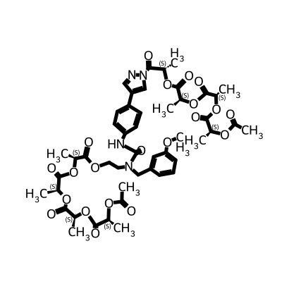 COc1cccc(CN(CCOC(=O)[C@H](C)OC(=O)[C@H](C)OC(=O)[C@H](C)OC(=O)[C@H](C)OC(C)=O)C(=O)Nc2ccc(-c3cnn(C(=O)[C@H](C)OC(=O)[C@H](C)OC(=O)[C@H](C)OC(=O)[C@H](C)OC(C)=O)c3)cc2)c1